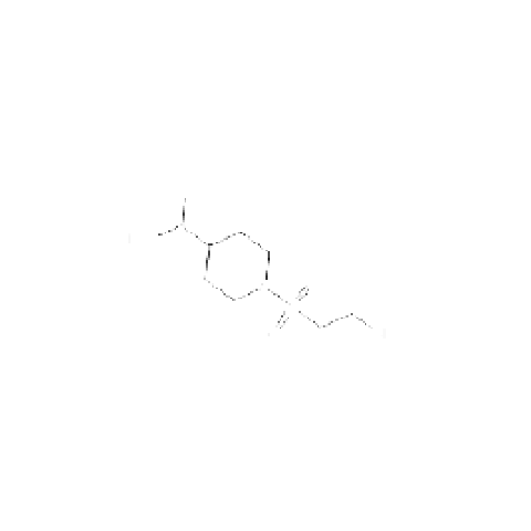 CC(C)C1CCN(S(=O)(=O)CCN)CC1